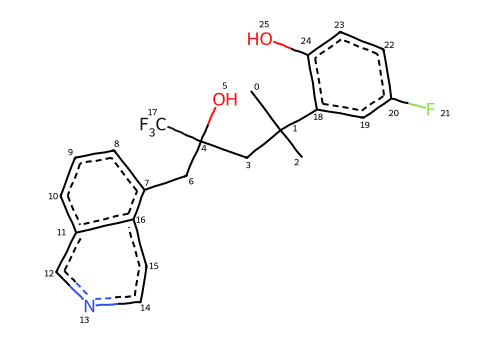 CC(C)(CC(O)(Cc1cccc2cnccc12)C(F)(F)F)c1cc(F)ccc1O